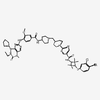 CC[C@@H]1C(=O)N(C)c2cnc(Nc3ccc(C(=O)NC4CCN(CC5CCN(c6ncc(C(=O)NC7C(C)(C)C(Oc8ccc(C#N)c(Cl)c8)C7(C)C)cn6)CC5)CC4)cc3OC)nc2N1C1CCCC1